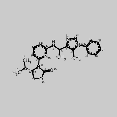 Cc1c(C(C)Nc2nccc(N3C(=O)OC[C@@H]3C(C)C)n2)nnn1-c1ccccc1